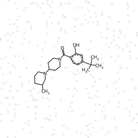 CC1CCCN(C2CCN(C(=O)c3ccc(C(C)(C)C)cc3O)CC2)C1